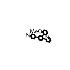 COc1ccccc1-c1cc(-c2ccc(N(C)C)cc2)ccc1-c1ccccn1